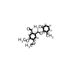 COc1cc(C=O)c(COc2c(C)cccc2C)cc1OC